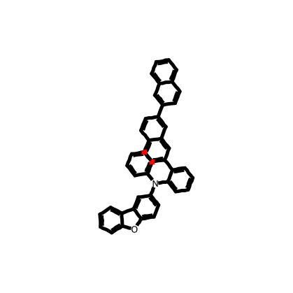 c1ccc(N(c2ccc3oc4ccccc4c3c2)c2ccccc2-c2ccc3ccc(-c4ccc5ccccc5c4)cc3c2)cc1